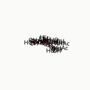 CCC(C)(CC)NCC(=O)NC(CCC(=O)NCCOCCOCCOCCOC1OC(CO)C(O)C(O)C1NC(C)=O)(CCC(=O)NCCOCCOCCOCCOC1OC(CO)C(O)C(O)C1NC(C)=O)CCC(=O)NCCOCCOCCOCCOC1OC(CO)C(O)C(O)C1NC(C)=O